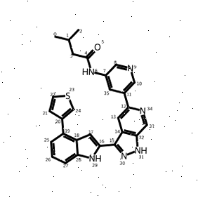 CC(C)CC(=O)Nc1cncc(-c2cc3c(-c4cc5c(-c6ccsc6)cccc5[nH]4)n[nH]c3cn2)c1